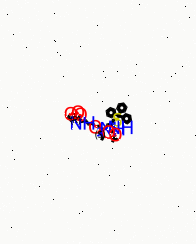 CC[C@H](C)C(COCCCCC(=O)[C@]1(N)CCOC1=O)NCC(CSC(c1ccccc1)(c1ccccc1)c1ccccc1)NC(=O)OC(C)(C)C